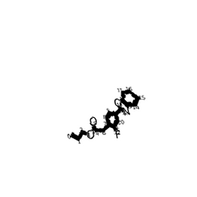 C=CCOC(=O)Cc1ccc(-c2nc3ccccc3o2)cc1F